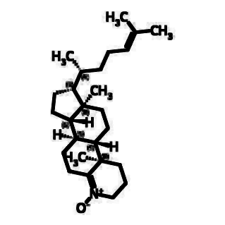 CC(C)=CCC[C@@H](C)[C@H]1CC[C@H]2[C@@H]3CCC4=[N+]([O-])CCC[C@]4(C)[C@H]3CC[C@]12C